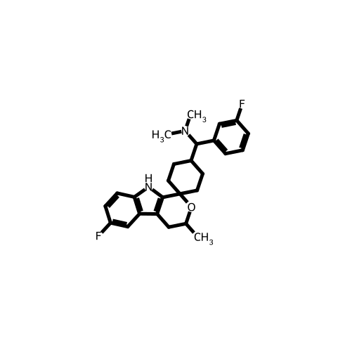 CC1Cc2c([nH]c3ccc(F)cc23)C2(CCC(C(c3cccc(F)c3)N(C)C)CC2)O1